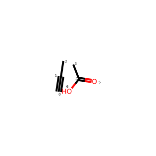 C#CC.CC(=O)O